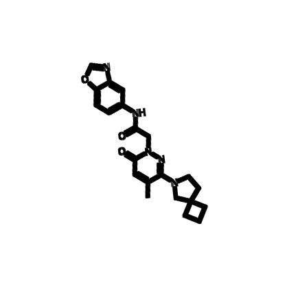 Cc1cc(=O)n(CC(=O)Nc2ccc3ocnc3c2)nc1N1CCC2(CCC2)C1